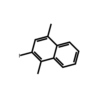 Cc1cc(I)c(C)c2ccccc12